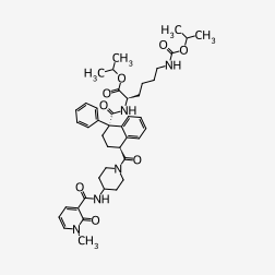 CC(C)OC(=O)NCCCC[C@@H](NC(=O)[C@@]1(c2ccccc2)CC[C@H](C(=O)N2CCC(NC(=O)c3cccn(C)c3=O)CC2)c2ccccc21)C(=O)OC(C)C